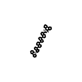 c1cc(-c2cccc3c(-c4cccc5c(-c6cccc7c(-n8c9ccccc9c9ccccc98)cccc67)cccc45)cccc23)c2cccc(-c3cnc4c5ccccc5c5ccccc5c4n3)c2c1